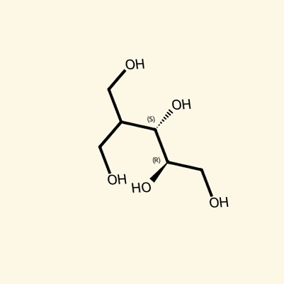 OCC(CO)[C@H](O)[C@H](O)CO